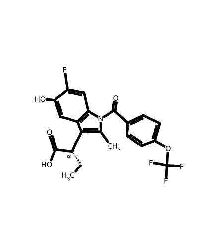 CC[C@H](C(=O)O)c1c(C)n(C(=O)c2ccc(OC(F)(F)F)cc2)c2cc(F)c(O)cc12